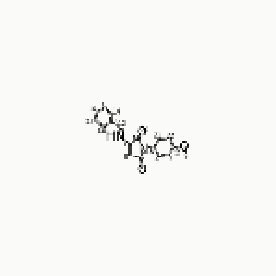 COc1ccc(N2C(=O)C=C(NCc3ccccc3)C2=O)cc1